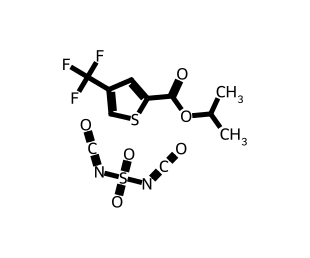 CC(C)OC(=O)c1cc(C(F)(F)F)cs1.O=C=NS(=O)(=O)N=C=O